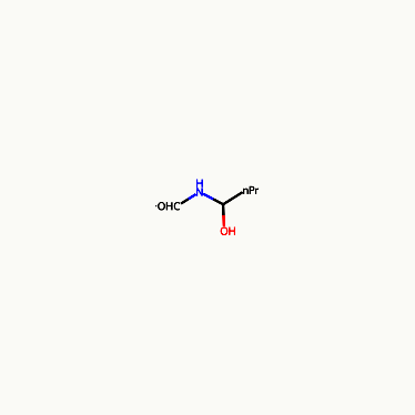 CCCC(O)N[C]=O